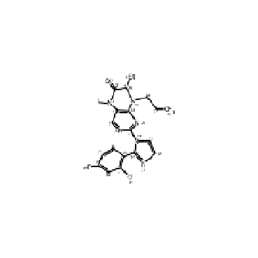 CC[C@@H]1C(=O)N(C)c2cnc(-n3ccnc3-c3ccc(F)cc3Cl)nc2N1CCC(F)(F)F